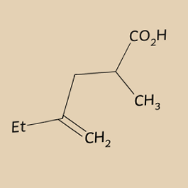 C=C(CC)CC(C)C(=O)O